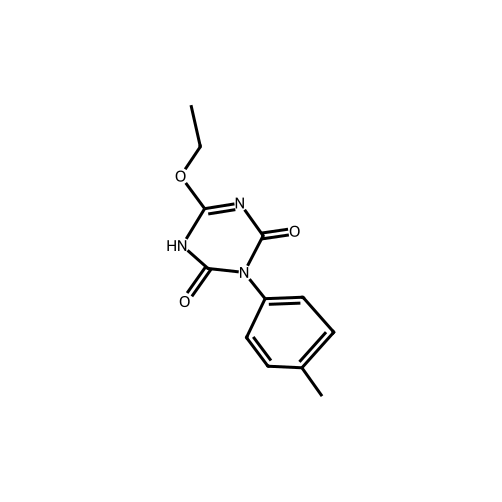 CCOc1nc(=O)n(-c2ccc(C)cc2)c(=O)[nH]1